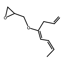 C=CC/C(=C\C=C/C)OCC1CO1